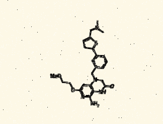 COCCOc1cc2c(c(N)n1)NC(=O)CN2Cc1cccc(C2CC=C(CN(C)C)S2)c1